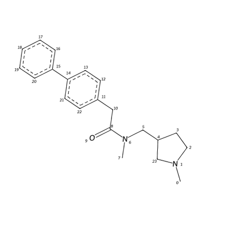 CN1CCC(CN(C)C(=O)Cc2ccc(-c3ccccc3)cc2)C1